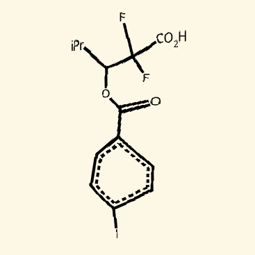 CC(C)C(OC(=O)c1ccc(I)cc1)C(F)(F)C(=O)O